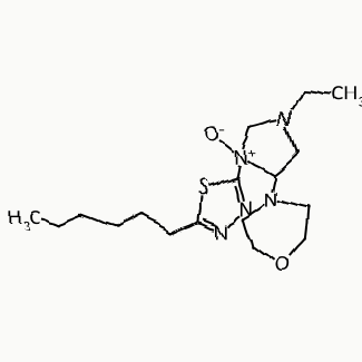 CCCCCCc1nnc([N+]2([O-])CN(CC)CC2N2CCOCC2)s1